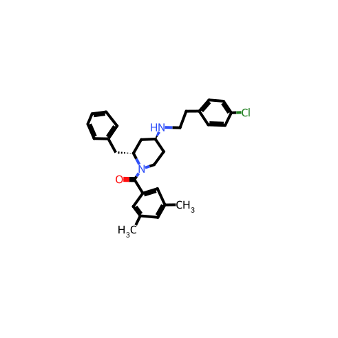 Cc1cc(C)cc(C(=O)N2CC[C@H](NCCc3ccc(Cl)cc3)C[C@H]2Cc2ccccc2)c1